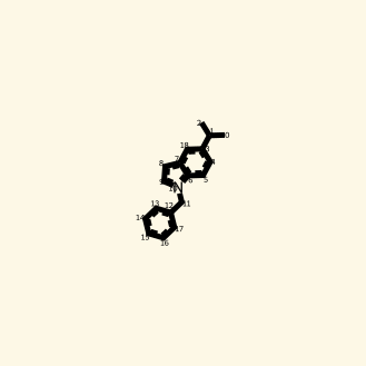 CC(C)c1ccc2c(ccn2Cc2ccccc2)c1